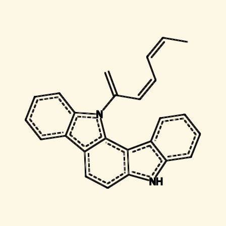 C=C(/C=C\C=C/C)n1c2ccccc2c2ccc3[nH]c4ccccc4c3c21